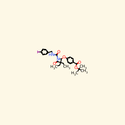 CCC1(CC)C(=O)N(C(=O)NCc2ccc(I)cc2)C1Oc1ccc(C(=O)OC(C)(C)C)cc1